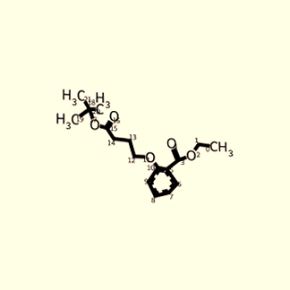 CCOC(=O)c1ccccc1OCCCC(=O)OC(C)(C)C